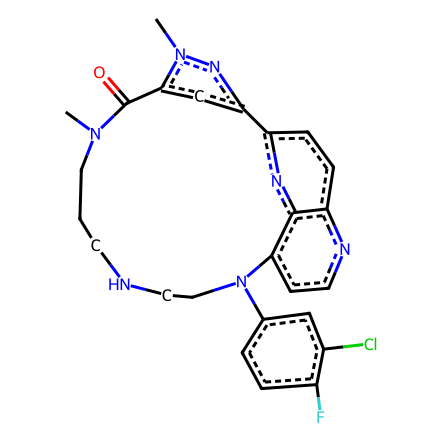 CN1CCCNCCN(c2ccc(F)c(Cl)c2)c2ccnc3ccc(nc23)-c2cc(n(C)n2)C1=O